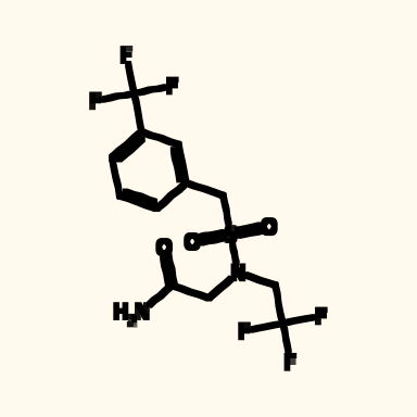 NC(=O)CN(CC(F)(F)F)S(=O)(=O)Cc1cccc(C(F)(F)F)c1